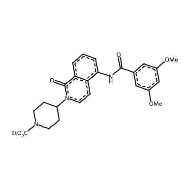 CCOC(=O)N1CCC(n2ccc3c(NC(=O)c4cc(OC)cc(OC)c4)cccc3c2=O)CC1